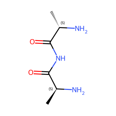 C[C@H](N)C(=O)NC(=O)[C@H](C)N